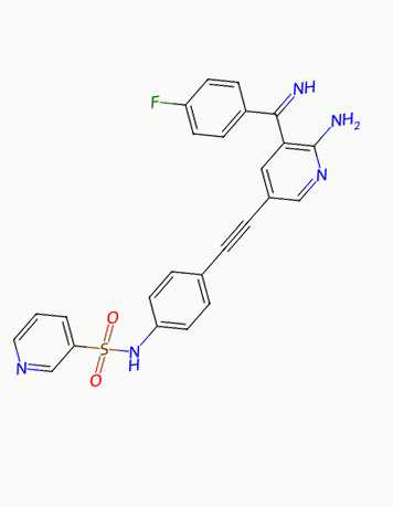 N=C(c1ccc(F)cc1)c1cc(C#Cc2ccc(NS(=O)(=O)c3cccnc3)cc2)cnc1N